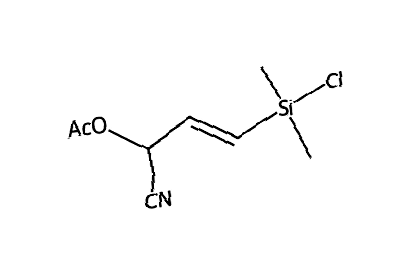 CC(=O)OC(C#N)C=C[Si](C)(C)Cl